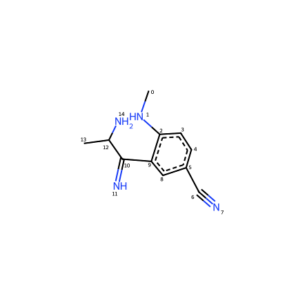 CNc1ccc(C#N)cc1C(=N)C(C)N